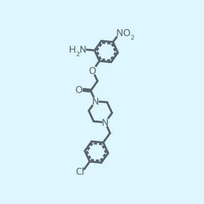 Nc1cc([N+](=O)[O-])ccc1OCC(=O)N1CCN(Cc2ccc(Cl)cc2)CC1